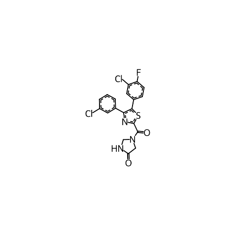 O=C1CN(C(=O)c2nc(-c3cccc(Cl)c3)c(-c3ccc(F)c(Cl)c3)s2)CN1